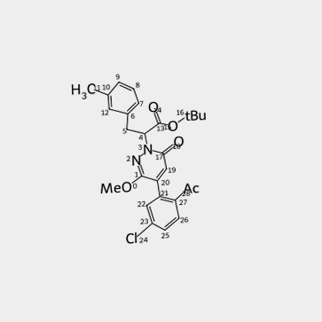 COc1nn(C(Cc2cccc(C)c2)C(=O)OC(C)(C)C)c(=O)cc1-c1cc(Cl)ccc1C(C)=O